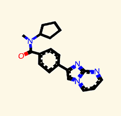 CN(C(=O)c1ccc(-c2cn3cccnc3n2)cc1)C1CCCC1